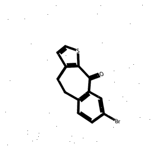 O=C1c2cc(Br)ccc2CCc2ccsc21